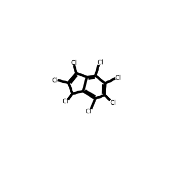 ClC1=C(Cl)C(Cl)c2c(Cl)c(Cl)c(Cl)c(Cl)c21